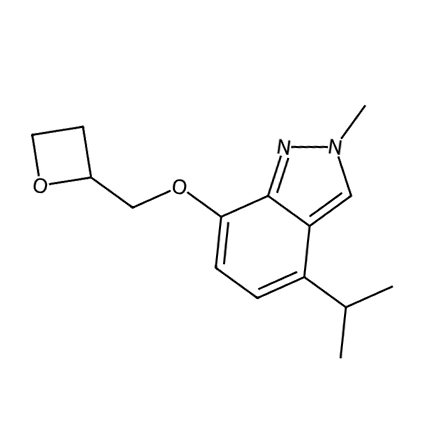 CC(C)c1ccc(OCC2CCO2)c2nn(C)cc12